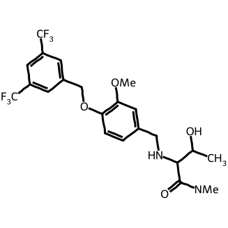 CNC(=O)C(NCc1ccc(OCc2cc(C(F)(F)F)cc(C(F)(F)F)c2)c(OC)c1)C(C)O